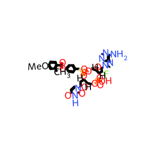 COc1ccc(C(=O)Oc2ccc(CSP3(=O)OC[C@H]4O[C@@H](n5cnc6c(N)ncnc65)[C@H](F)[C@@H]4OP(=O)(O)OC[C@H]4O[C@@H](n5ccc(=O)[nH]c5=O)C[C@@H]4O3)cc2)c(C)c1